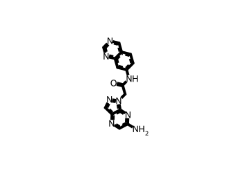 Nc1cnc2cnn(CC(=O)Nc3ccc4cncnc4c3)c2n1